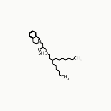 CCCCCCCC(CCCCCC)CCOCC(C[N+]1=Cc2ccccc2CC1)OS